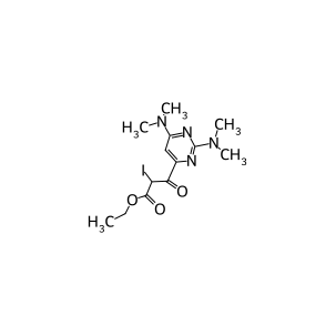 CCOC(=O)C(I)C(=O)c1cc(N(C)C)nc(N(C)C)n1